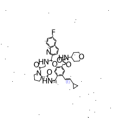 C[C@H](NC(=O)[C@@H]1CCCN1C(=O)CNC(=O)c1ccc2cc(F)ccc2n1)c1ccc(S(=O)(=O)NC2CCOCC2)cc1/C=C/C1CC1